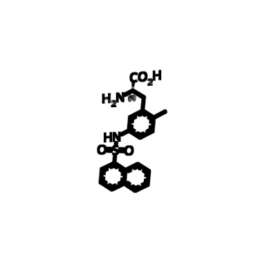 Cc1ccc(NS(=O)(=O)c2cccc3ccccc23)cc1C[C@H](N)C(=O)O